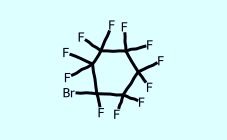 FC1(F)C(F)(F)C(F)(F)C(F)(Br)C(F)(F)C1(F)F